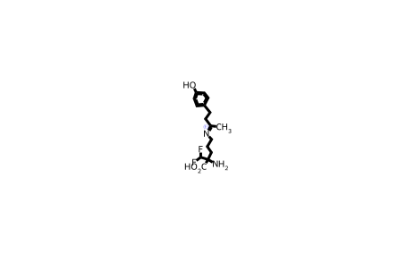 C/C(CCc1ccc(O)cc1)=N\CCCC(N)(C(=O)O)C(F)F